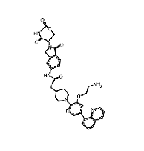 NCCOc1cc(-c2cccc3cccnc23)cnc1N1CCC(CC(=O)Nc2ccc3c(c2)CN(C2CCC(=O)NC2=O)C3=O)CC1